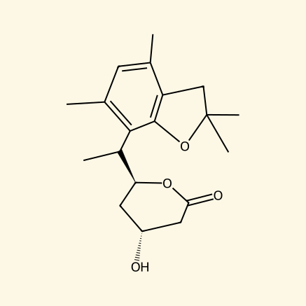 Cc1cc(C)c(C(C)[C@@H]2C[C@@H](O)CC(=O)O2)c2c1CC(C)(C)O2